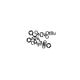 Cc1ccccc1-n1c(-c2ccccc2)c(C(=O)N2CCN(C(=O)OC(C)(C)C)CC2)n(CCCNS(=O)(=O)c2ccccc2)c1=O